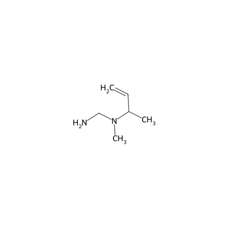 C=CC(C)N(C)CN